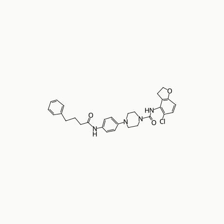 O=C(CCCc1ccccc1)Nc1ccc(N2CCN(C(=O)Nc3c(Cl)ccc4c3CCO4)CC2)cc1